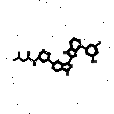 CC(C)CC(=O)Nc1cncc(-c2ccc3[nH]nc(-c4cc5c(-c6cc(O)cc(F)c6)nccc5[nH]4)c3c2)c1